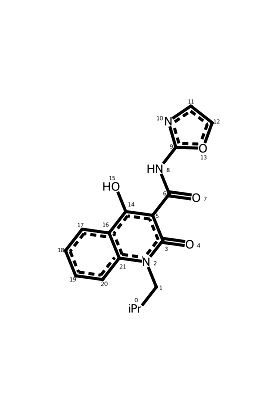 CC(C)Cn1c(=O)c(C(=O)Nc2ncco2)c(O)c2ccccc21